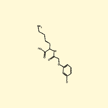 NCCCCC(NC(=O)COc1cccc(Cl)c1)C(=O)O